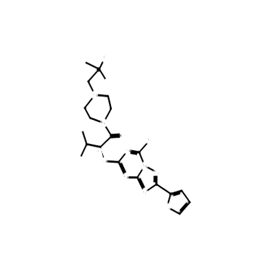 CC(C)[C@H](Nc1nc(N)n2nc(-c3ccco3)nc2n1)C(=O)N1CCN(CC(C)(C)F)CC1